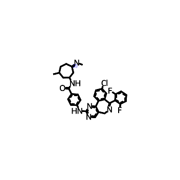 C/N=C1/CCC(C)CC(NC(=O)c2ccc(Nc3ncc4c(n3)-c3ccc(Cl)cc3C(c3c(F)cccc3F)=NC4)cc2)C1